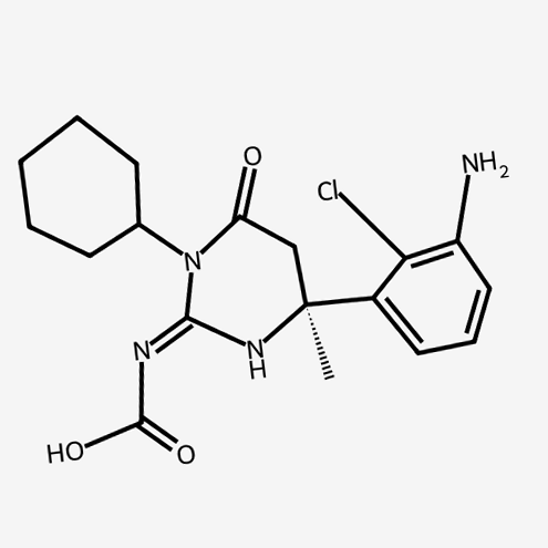 C[C@@]1(c2cccc(N)c2Cl)CC(=O)N(C2CCCCC2)C(=NC(=O)O)N1